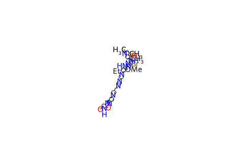 CCc1cc(Nc2ncc(Br)c(Nc3ccc4nc(C)ccc4c3P(C)(C)=O)n2)c(OC)cc1N1CCC(N2CCN(CCC3CCN(c4ccc5nn(C6CCC(=O)NC6=O)cc5c4)CC3)CC2)CC1